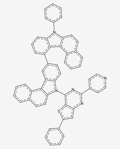 c1ccc(-c2cc3nc(-c4ccncc4)nc(-n4c5ccc(-c6cccc7c6c6c8ccccc8ccc6n7-c6ccccc6)cc5c5c6ccccc6ccc54)c3s2)cc1